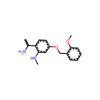 C=C(N)c1ccc(OCc2ccccc2OC)cc1NC